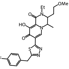 CCN1C(=O)c2c(O)c(=O)c(-c3nnc(Cc4ccc(F)cc4)s3)cn2C(C)C1CCOC